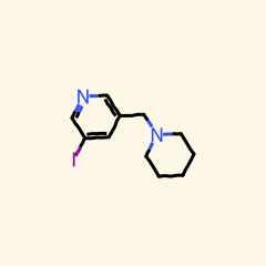 Ic1cncc(CN2CCCCC2)c1